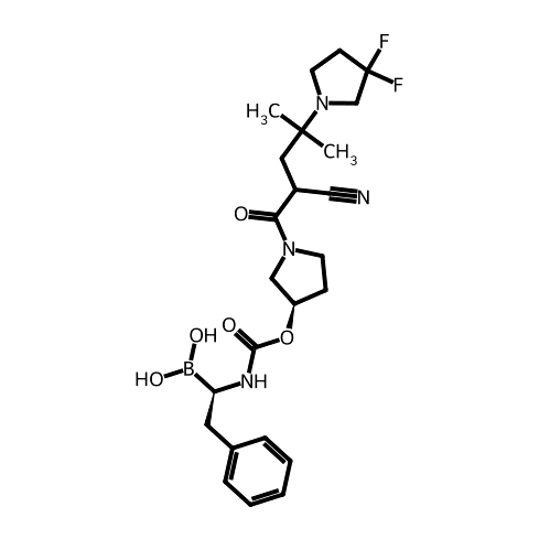 CC(C)(CC(C#N)C(=O)N1CC[C@@H](OC(=O)N[C@@H](Cc2ccccc2)B(O)O)C1)N1CCC(F)(F)C1